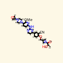 COc1nc(Nc2nccc(-c3ccc(OCC4CN(C(=O)[C@@H](C)O)C4)c(C#N)c3)n2)ccc1N1CCN(C2COC2)CC1